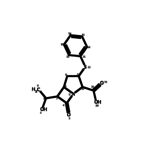 CC(O)C1C(=O)N2C1CC(Sc1ccccc1)C2C(=O)O